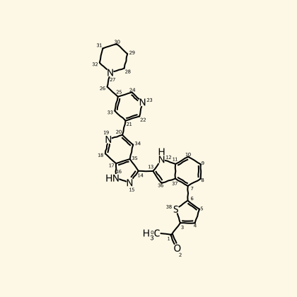 CC(=O)c1ccc(-c2cccc3[nH]c(-c4n[nH]c5cnc(-c6cncc(CN7CCCCC7)c6)cc45)cc23)s1